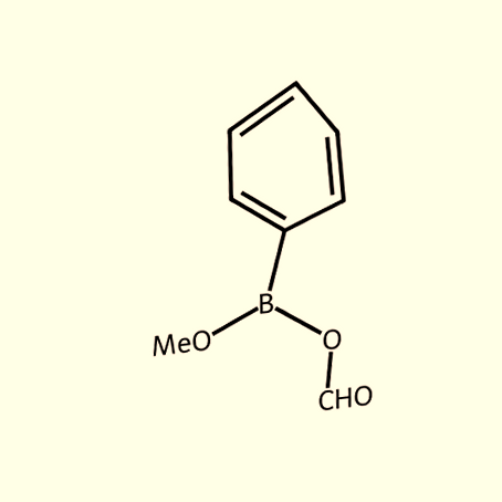 COB(OC=O)c1ccccc1